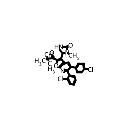 CN1C(=O)NCC1c1c(C(=O)C(C)(C)C)oc2nc(-c3ccccc3Cl)c(-c3ccc(Cl)cc3)cc12